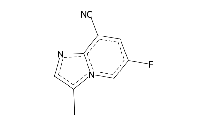 N#Cc1cc(F)cn2c(I)cnc12